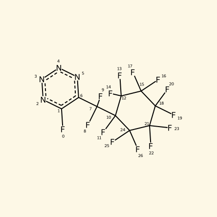 Fc1nnnnc1C(F)(F)C1(F)C(F)(F)C(F)(F)C(F)(F)C(F)(F)C1(F)F